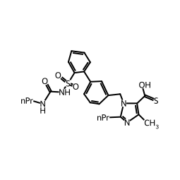 CCCNC(=O)NS(=O)(=O)c1ccccc1-c1cccc(Cn2c(CCC)nc(C)c2C(O)=S)c1